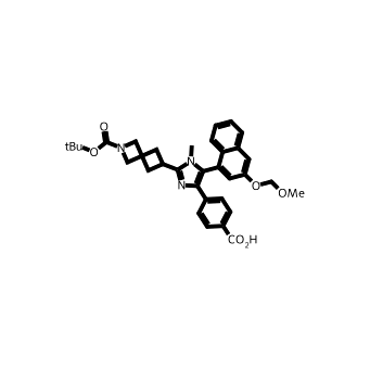 COCOc1cc(-c2c(-c3ccc(C(=O)O)cc3)nc(C3CC4(C3)CN(C(=O)OC(C)(C)C)C4)n2C)c2ccccc2c1